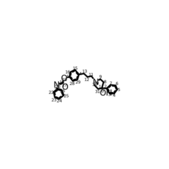 OC1(c2ccccc2)CCN(CCCc2ccc(Oc3nc4ccccc4o3)cc2)CC1